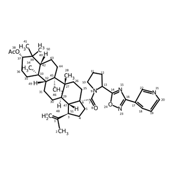 C=C(C)[C@@H]1CC[C@]2(C(=O)N3CCCC3c3nc(-c4cccnc4)no3)CC[C@]3(C)[C@H](CC[C@@H]4[C@@]5(C)CC[C@H](OC(C)=O)C(C)(C)[C@@H]5CC[C@]43C)[C@@H]12